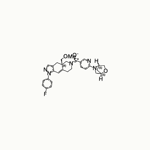 COC[C@]12Cc3cnn(-c4ccc(F)cc4)c3C=C1CCN([S+]([O-])c1ccc(N3C[C@@H]4C[C@H]3CO4)nc1)C2